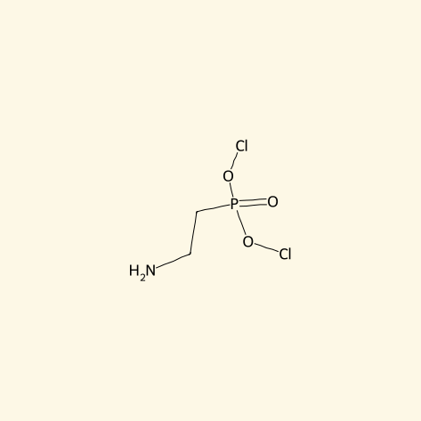 NCCP(=O)(OCl)OCl